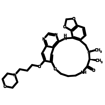 C[C@H]1C(=O)NCCCOc2cc3c(ncnc3cc2OCCCN2CCOCC2)Nc2c(ccc3c2OCO3)CN1C